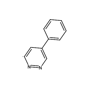 [c]1cc(-c2ccccc2)cnn1